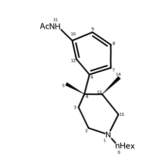 CCCCCCN1CC[C@](C)(c2cccc(NC(C)=O)c2)[C@@H](C)C1